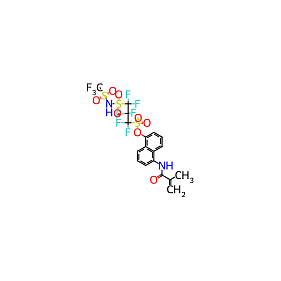 C=C(C)C(=O)Nc1cccc2c(OS(=O)(=O)C(F)(F)C(F)(F)C(F)(F)S(=O)(=O)NS(=O)(=O)C(F)(F)F)cccc12